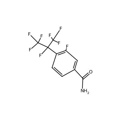 NC(=O)c1ccc(C(F)(C(F)(F)F)C(F)(F)F)c(F)c1